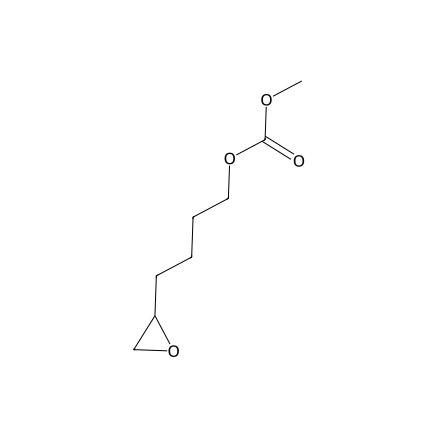 COC(=O)OCCCCC1CO1